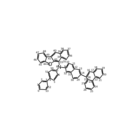 c1ccc(-c2ccc(N(c3ccc4cc(-c5cc6ccccc6c6ccccc56)ccc4c3)c3c4ccccc4cc4c3oc3ccccc34)cc2)cc1